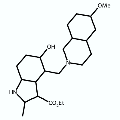 CCOC(=O)C1C(C)NC2CCC(O)C(CN3CCC4CC(OC)CCC4C3)C21